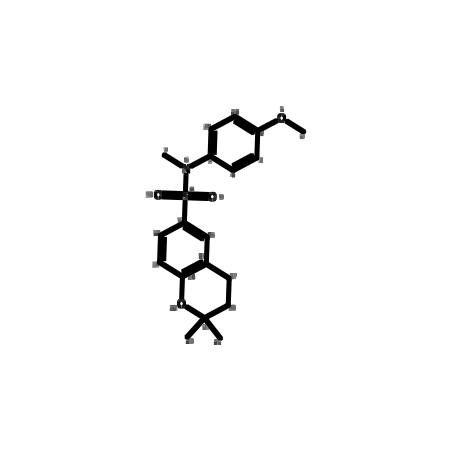 COc1ccc(N(C)S(=O)(=O)c2ccc3c(c2)CCC(C)(C)O3)cc1